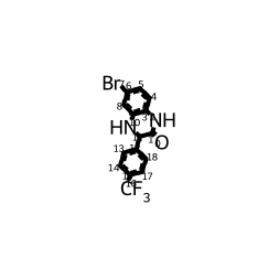 O=C1Nc2ccc(Br)cc2NC1c1ccc(C(F)(F)F)cc1